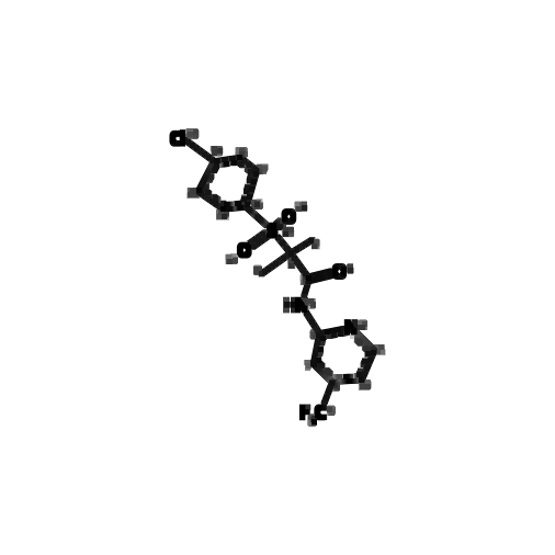 CC(C)(C(=O)Nc1cc(C(F)(F)F)ccn1)S(=O)(=O)c1ccc(Cl)cc1